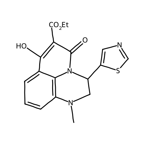 CCOC(=O)c1c(O)c2cccc3c2n(c1=O)C(c1cncs1)CN3C